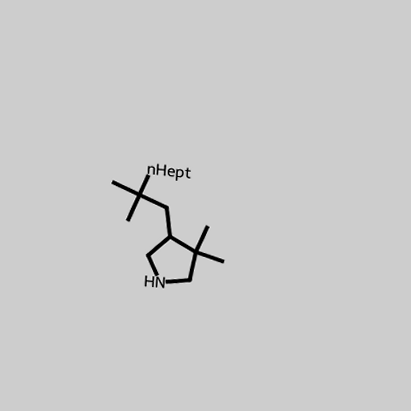 CCCCCCCC(C)(C)CC1CNCC1(C)C